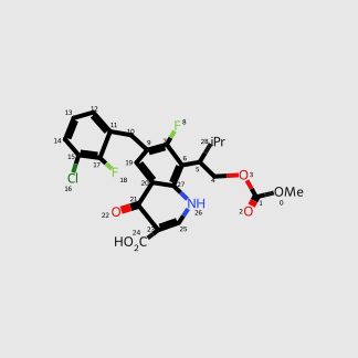 COC(=O)OCC(c1c(F)c(Cc2cccc(Cl)c2F)cc2c(=O)c(C(=O)O)c[nH]c12)C(C)C